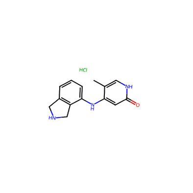 Cc1c[nH]c(=O)cc1Nc1cccc2c1CNC2.Cl